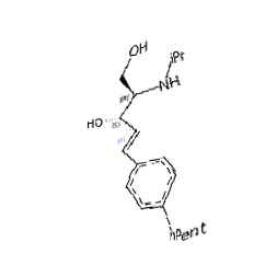 CCCCCc1ccc(/C=C/[C@H](O)[C@@H](CO)NC(C)C)cc1